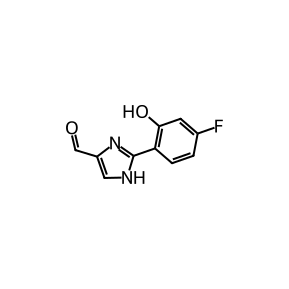 O=Cc1c[nH]c(-c2ccc(F)cc2O)n1